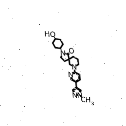 Cn1cc(-c2ccc(N3CCCC4(CCN([C@H]5CC[C@H](O)CC5)C4=O)C3)nc2)cn1